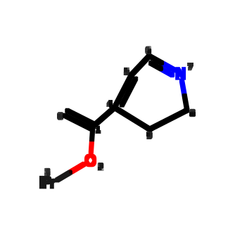 C=C(OC(C)C)C1=CC=NCC1